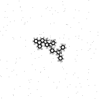 CC1(C)c2ccc3c4ccccc4c4ccccc4c3c2-c2ccc3c(c21)c1ncccc1n3-c1cccc(-c2cc(-c3ccccc3)nc(-c3ccccc3)n2)c1